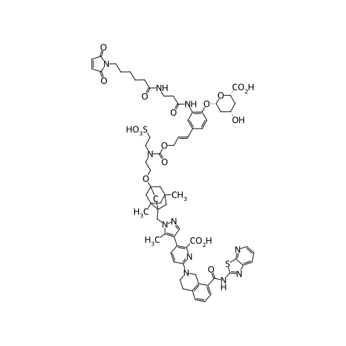 Cc1c(-c2ccc(N3CCc4cccc(C(=O)Nc5nc6cccnc6s5)c4C3)nc2C(=O)O)cnn1CC12CC3(C)CC(OCCN(CCS(=O)(=O)O)C(=O)OC/C=C/c4ccc(O[C@H]5C[C@@H](O)C[C@@H](C(=O)O)O5)c(NC(=O)CCNC(=O)CCCCCN5C(=O)C=CC5=O)c4)(CC1(C)C3)C2